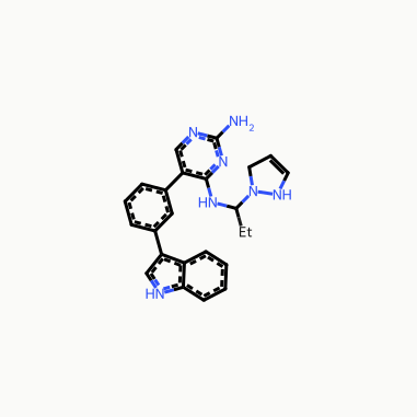 CCC(Nc1nc(N)ncc1-c1cccc(-c2c[nH]c3ccccc23)c1)N1CC=CN1